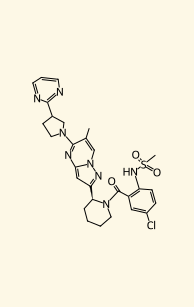 Cc1cn2nc([C@@H]3CCCCN3C(=O)c3cc(Cl)ccc3NS(C)(=O)=O)cc2nc1N1CCC(c2ncccn2)C1